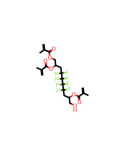 C=C(C)C(=O)OCC(CC(F)(F)C(F)(F)C(F)(F)C(F)(F)CC(CO)OC(=O)C(=C)C)OC(=O)C(=C)C